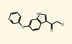 O=C(CCl)c1c[nH]c2cc(Oc3cccnc3)ccc12